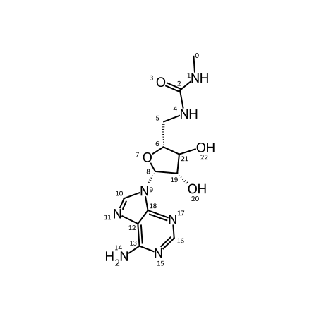 CNC(=O)NC[C@H]1O[C@@H](n2cnc3c(N)ncnc32)[C@@H](O)C1O